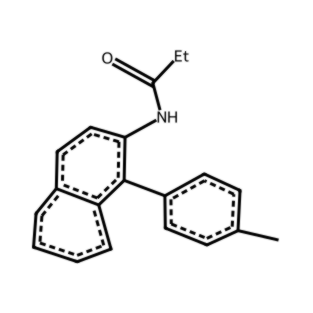 CCC(=O)Nc1ccc2ccccc2c1-c1ccc(C)cc1